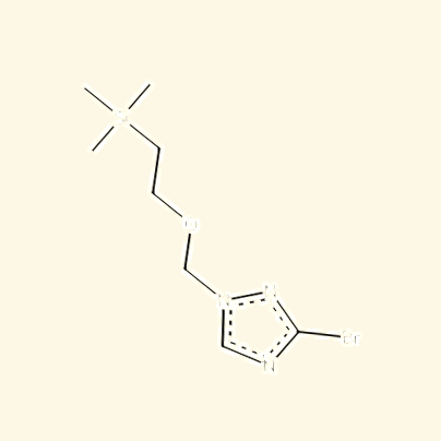 C[Si](C)(C)CCOCn1cnc(Br)n1